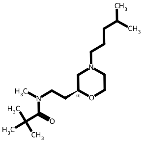 CC(C)CCCN1CCO[C@@H](CCN(C)C(=O)C(C)(C)C)C1